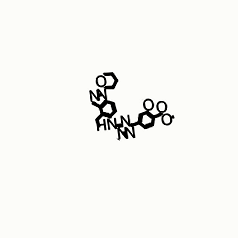 CCc1c(Nc2nc(-c3ccc(C(=O)OC)c(OC)c3)nn2C)ccc2c1cnn2C1CCCCO1